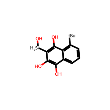 CC(C)(C)c1cccc2c(O)c(O)c([SiH2]O)c(O)c12